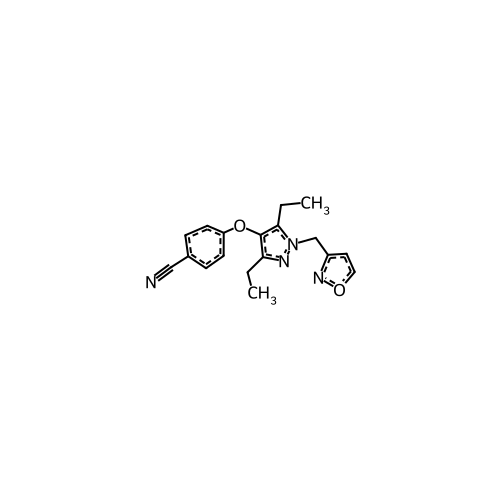 CCc1nn(Cc2ccon2)c(CC)c1Oc1ccc(C#N)cc1